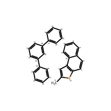 Cc1cc2c(ccc3ccccc32)s1.c1ccc(-c2cccc(-c3ccccc3)c2)cc1